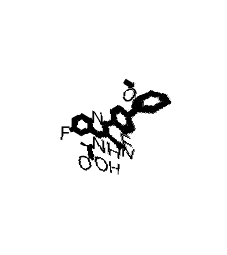 CCOc1ccccc1-c1ccc(-c2nc3ccc(F)cc3c(N[C@H](C)C(=O)O)c2C#N)c(F)c1